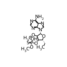 CC[C@H]1O[C@@H](n2cnc3c(N)ncnc32)C(OC)C1OP(O)(=S)OC